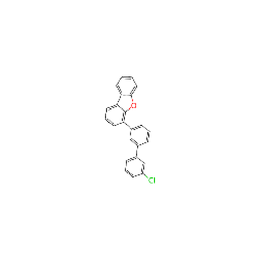 Clc1cccc(-c2cccc(-c3cccc4c3oc3ccccc34)c2)c1